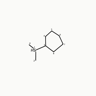 C[SiH](C)C1CCCCC1